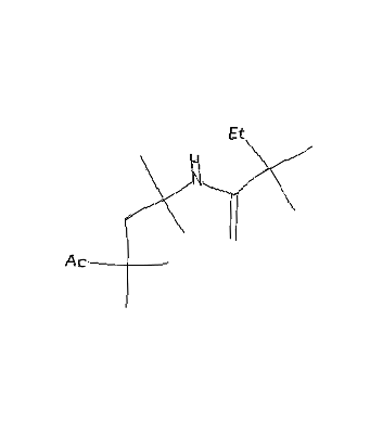 C=C(NC(C)(C)CC(C)(C)C(C)=O)C(C)(C)CC